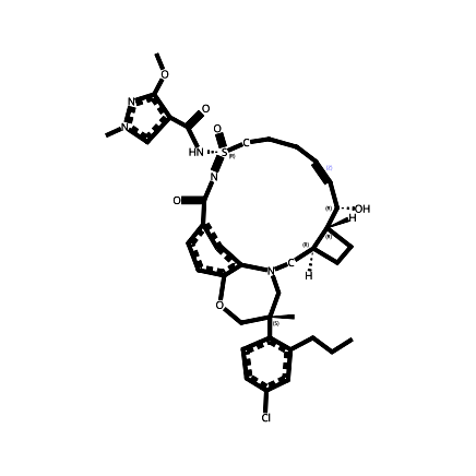 CCCc1cc(Cl)ccc1[C@]1(C)COc2ccc3cc2N(C[C@@H]2CC[C@H]2[C@@H](O)/C=C\CCC[S@@](=O)(NC(=O)c2cn(C)nc2OC)=NC3=O)C1